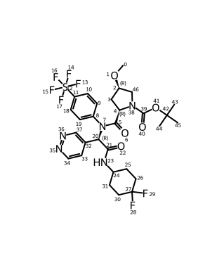 CO[C@@H]1C[C@H](C(=O)N(c2ccc(S(F)(F)(F)(F)F)cc2)[C@@H](C(=O)NC2CCC(F)(F)CC2)c2ccnnc2)N(C(=O)OC(C)(C)C)C1